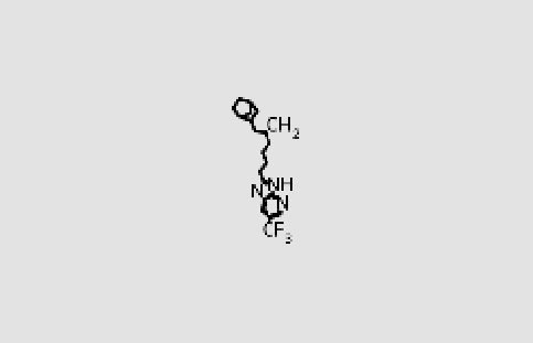 C=C(CCCCc1nc2cc(C(F)(F)F)cnc2[nH]1)CC1CC2CCC1C2